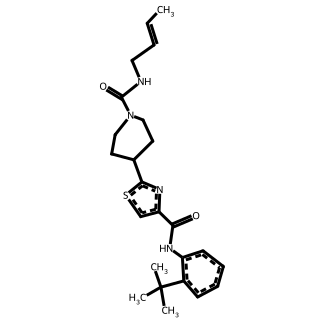 C/C=C/CNC(=O)N1CCC(c2nc(C(=O)Nc3ccccc3C(C)(C)C)cs2)CC1